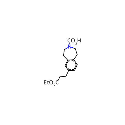 CCOC(=O)CCc1ccc2c(c1)CCN(C(=O)O)[CH]C2